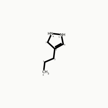 CCCC1=[C]NNC1